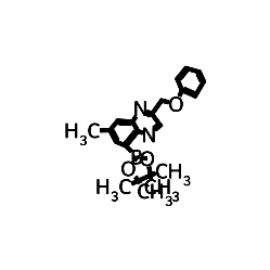 Cc1cc(B2OC(C)(C)C(C)(C)O2)c2ncc(COc3ccccc3)nc2c1